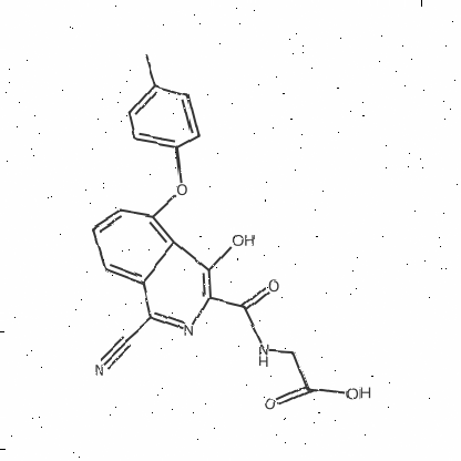 Cc1ccc(Oc2cccc3c(C#N)nc(C(=O)NCC(=O)O)c(O)c23)cc1